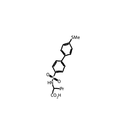 CSc1ccc(-c2ccc(S(=O)(=O)NC(C(=O)O)C(C)C)cc2)cc1